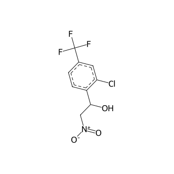 O=[N+]([O-])CC(O)c1ccc(C(F)(F)F)cc1Cl